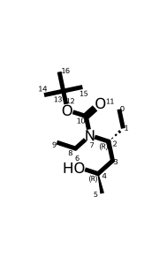 CC[C@H](C[C@@H](C)O)N(CC)C(=O)OC(C)(C)C